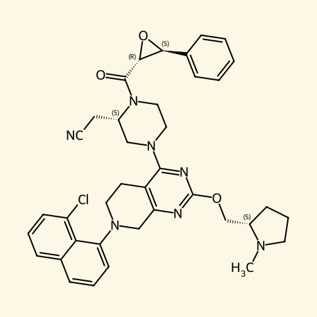 CN1CCC[C@H]1COc1nc2c(c(N3CCN(C(=O)[C@@H]4O[C@H]4c4ccccc4)[C@@H](CC#N)C3)n1)CCN(c1cccc3cccc(Cl)c13)C2